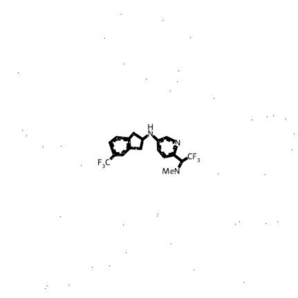 CNC(c1ccc(NC2Cc3ccc(C(F)(F)F)cc3C2)cn1)C(F)(F)F